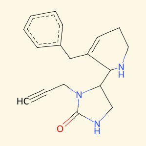 C#CCN1C(=O)NCC1C1NCCC=C1Cc1ccccc1